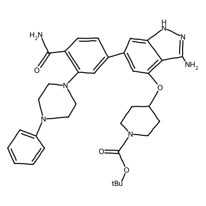 CC(C)(C)OC(=O)N1CCC(Oc2cc(-c3ccc(C(N)=O)c(N4CCN(c5ccccc5)CC4)c3)cc3[nH]nc(N)c23)CC1